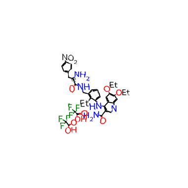 CCOc1cc2ncc(C(N)=O)c(Nc3cccc(CNC(=O)[C@H](N)Cc4ccc([N+](=O)[O-])cc4)c3CC)c2cc1OCC.O=C(O)C(F)(F)F.O=C(O)C(F)(F)F